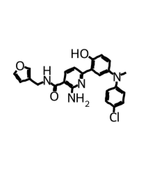 CN(c1ccc(Cl)cc1)c1ccc(O)c(-c2ccc(C(=O)NCc3ccoc3)c(N)n2)c1